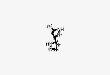 CC(C)c1cc(-c2nnn[nH]2)n[nH]1